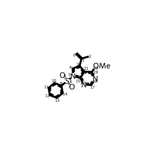 C=C(C)c1cn(S(=O)(=O)c2ccccc2)c2ncnc(OC)c12